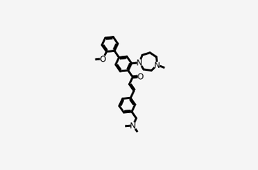 COc1ccccc1-c1ccc(C(=O)C=Cc2cccc(CN(C)C)c2)c(N2CCCN(C)CC2)c1